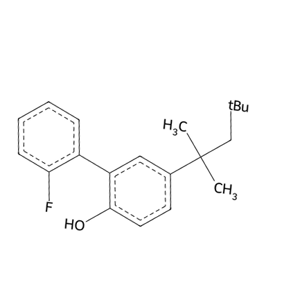 CC(C)(C)CC(C)(C)c1ccc(O)c(-c2ccccc2F)c1